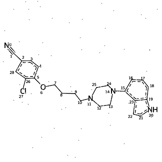 N#Cc1ccc(OCCCCN2CCN(c3cccc4[nH]ccc34)CC2)c(Cl)c1